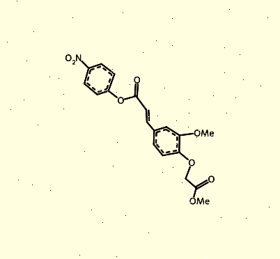 COC(=O)COc1ccc(C=CC(=O)Oc2ccc([N+](=O)[O-])cc2)cc1OC